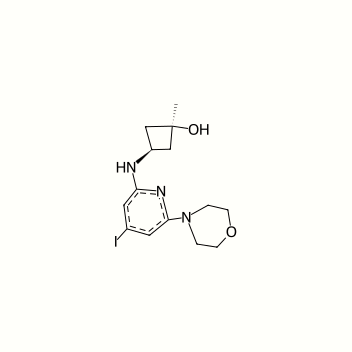 C[C@]1(O)C[C@@H](Nc2cc(I)cc(N3CCOCC3)n2)C1